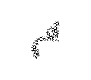 COc1cc(N2CCC(N3CCN(CN4CCN(c5ccc6c(c5)C(=O)N(C5CCC(=O)NC5=O)C6=O)CC4)CC3)CC2)c(-c2cnn(C)c2)cc1Nc1ncc(Br)c(Nc2ccc(-c3ccccc3F)cc2P(C)(C)=O)n1